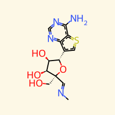 CN=C[C@]1(CO)O[C@@H](c2csc3c(N)ncnc23)[C@H](O)[C@@H]1O